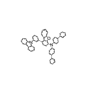 c1ccc(-c2ccc(N(c3ccc(-c4ccccc4)cc3)c3ccc(-c4cccc(-n5c6ccccc6c6ccccc65)c4)c4c3oc3ccccc34)cc2)cc1